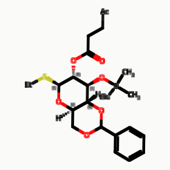 CCS[C@@H]1O[C@@H]2COC(c3ccccc3)O[C@H]2[C@H](O[Si](C)(C)C(C)(C)C)[C@H]1OC(=O)CCC(C)=O